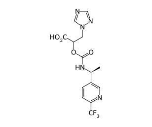 C[C@H](NC(=O)OC(Cn1cncn1)C(=O)O)c1ccc(C(F)(F)F)nc1